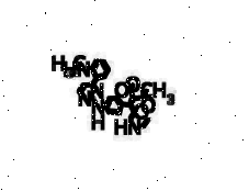 CNc1ccccc1-c1ccnc(Nc2ccc3c(C4CNCCO4)c(C(C)=O)c(=O)oc3c2)n1